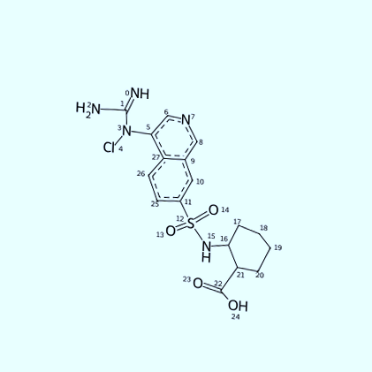 N=C(N)N(Cl)c1cncc2cc(S(=O)(=O)NC3CCCCC3C(=O)O)ccc12